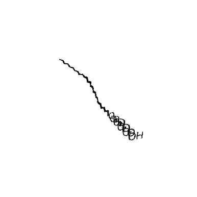 CCCCCCCCCCCCCCCCCCCCCCCCCCCOOOOOOOOOO